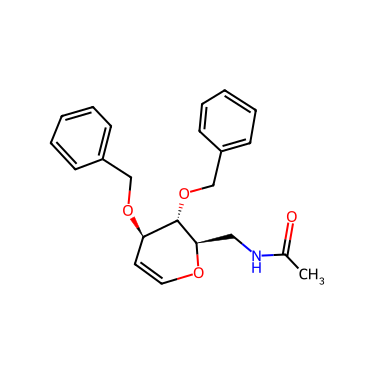 CC(=O)NC[C@H]1OC=C[C@@H](OCc2ccccc2)[C@@H]1OCc1ccccc1